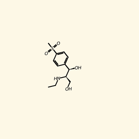 CCN[C@H](CO)[C@H](O)c1ccc(S(C)(=O)=O)cc1